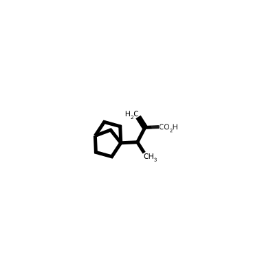 C=C(C(=O)O)C(C)C12CCC(CC1)C2